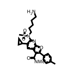 CNC(=O)c1c(-c2ccc(C)cc2)oc2nc(N(CCCCCN)S(C)(=O)=O)c(C3CC3)cc12